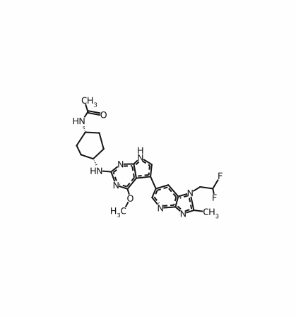 COc1nc(N[C@H]2CC[C@@H](NC(C)=O)CC2)nc2[nH]cc(-c3cnc4nc(C)n(CC(F)F)c4c3)c12